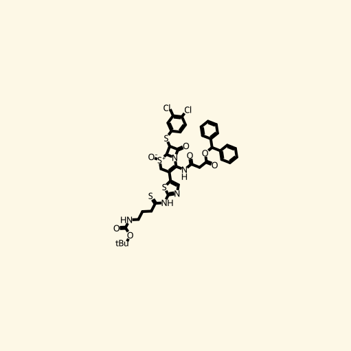 CC(C)(C)OC(=O)NCCCC(=S)Nc1ncc(C2=C(NC(=O)CC(=O)OC(c3ccccc3)c3ccccc3)N3C(=O)C(Sc4ccc(Cl)c(Cl)c4)C3[S+]([O-])C2)s1